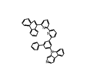 c1ccc(-c2cc(-c3cccc(-c4cccc(-c5cc6ccccc6c6ccccc56)n4)n3)cc(-n3c4ccccc4c4ccncc43)c2)cc1